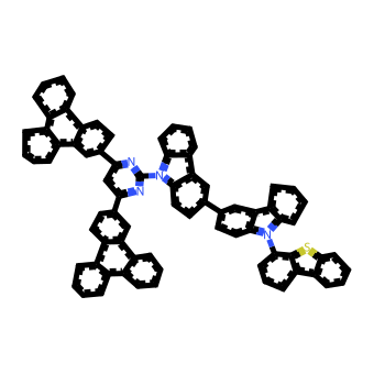 c1ccc2c(c1)sc1c(-n3c4ccccc4c4cc(-c5ccc6c(c5)c5ccccc5n6-c5nc(-c6ccc7c8ccccc8c8ccccc8c7c6)cc(-c6ccc7c8ccccc8c8ccccc8c7c6)n5)ccc43)cccc12